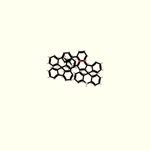 c1ccc(-c2ccccc2N(c2ccc3c(c2)C2(c4ccccc4Oc4ccccc42)c2ccccc2-3)c2cccc3c2C2(c4ccccc4Oc4ccccc42)c2ccccc2-3)cc1